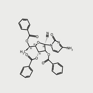 C[C@@H](OC(=O)c1ccccc1)[C@H]1O[C@@](C#N)(n2ccc(N)nc2=O)C(OC(=O)c2ccccc2)[C@@H]1OC(=O)c1ccccc1